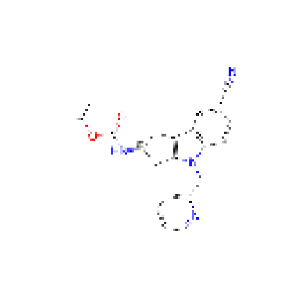 CC(C)OC(=O)N[C@H]1Cc2c(n(Cc3ccccn3)c3ccc(C#N)cc23)C1